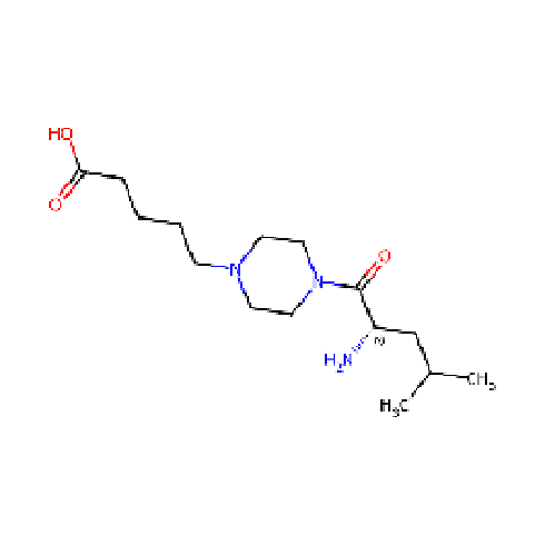 CC(C)C[C@H](N)C(=O)N1CCN(CCCCC(=O)O)CC1